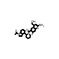 CC(=O)n1ccc2c(C3CCCCN3C(=O)c3cc4c(CO)cc(N)nc4cc3F)cccc21